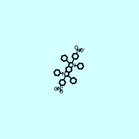 O=[N+]([O-])c1ccc(-c2c(-c3ccccc3)c3cc4c(cc3n2-c2ccccc2)c(-c2ccccc2)c(-c2ccc([N+](=O)[O-])cc2)n4-c2ccccc2)cc1